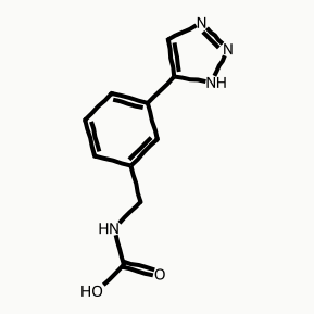 O=C(O)NCc1cccc(-c2cnn[nH]2)c1